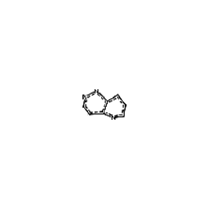 [c]1cnnc2cccnc12